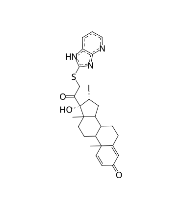 CC12C=CC(=O)C=C1CCC1C2CCC2(C)C1C[C@@H](I)[C@]2(O)C(=O)CSc1nc2ncccc2[nH]1